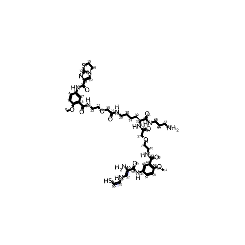 COc1ccc(NC(=O)c2cn3c(n2)SCC3)cc1C(=O)NCCOCC(=O)NCCCC[C@H](NC(=O)COCCNC(=O)c1cc(NC(=O)/C(N)=C/N/C=C\S)ccc1OC)C(=O)NCCCN